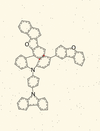 c1ccc(N(c2ccc(-c3ccc4oc5ccccc5c4c3)cc2)c2ccc(-n3c4ccccc4c4ccccc43)cc2)c(-c2cccc3c2oc2c4ccccc4ccc32)c1